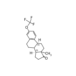 CC12CC[C@@H]3c4ccc(OC(F)(F)F)cc4CCC3[C@@H]1CCC2=O